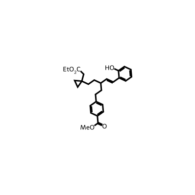 CCOC(=O)CC1(CCC(/C=C/c2ccccc2O)CCc2ccc(C(=O)OC)cc2)CC1